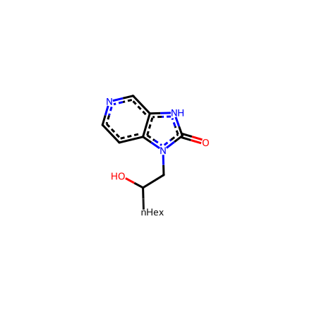 CCCCCCC(O)Cn1c(=O)[nH]c2cnccc21